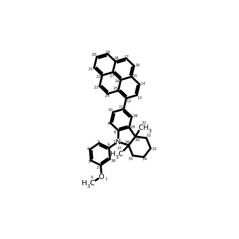 COc1cccc(N2c3ccc(-c4ccc5ccc6cccc7ccc4c5c67)cc3C3(C)CCCCC23C)c1